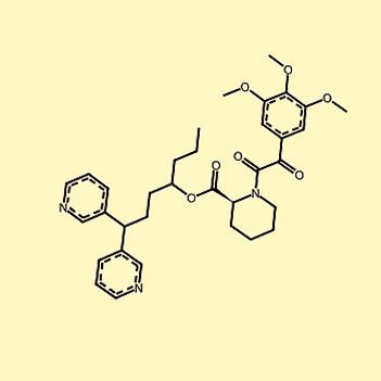 CCCC(CCC(c1cccnc1)c1cccnc1)OC(=O)[C@@H]1CCCCN1C(=O)C(=O)c1cc(OC)c(OC)c(OC)c1